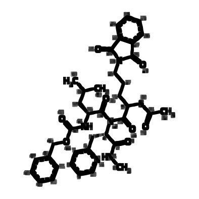 CNC(=O)[C@H](Cc1ccccn1)N(C(=O)C(CCCN1C(=O)c2ccccc2C1=O)SC(C)=O)C(=O)[C@H](CC(C)C)NC(=O)OCc1ccccc1